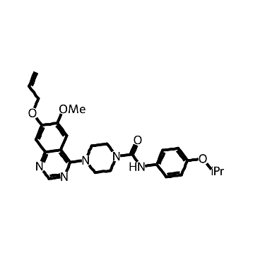 C=CCOc1cc2ncnc(N3CCN(C(=O)Nc4ccc(OC(C)C)cc4)CC3)c2cc1OC